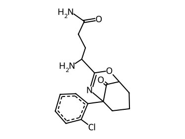 NC(=O)CCC(N)C1=NC2(c3ccccc3Cl)CCCC(O1)C2=O